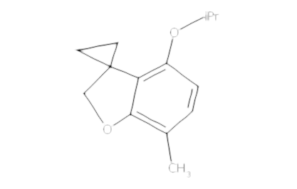 Cc1ccc(OC(C)C)c2c1OCC21CC1